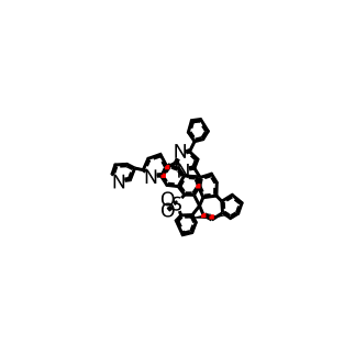 O=S1(=O)c2ccccc2C2(c3ccccc3-c3ccccc3-c3ccc(-c4cc(-c5ccccc5)nc(-c5ccc(-c6cccnc6)nc5)n4)cc32)c2ccc3ccccc3c21